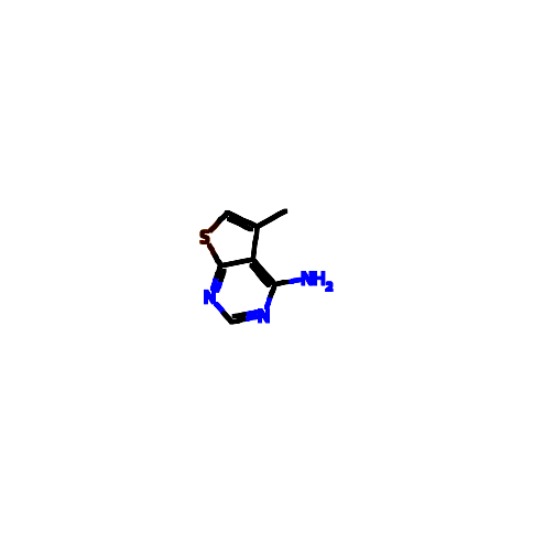 Cc1csc2ncnc(N)c12